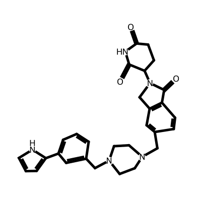 O=C1CCC(N2Cc3cc(CN4CCN(Cc5cccc(-c6ccc[nH]6)c5)CC4)ccc3C2=O)C(=O)N1